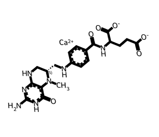 CN1c2c(nc(N)[nH]c2=O)NC[C@@H]1CNc1ccc(C(=O)NC(CCC(=O)[O-])C(=O)[O-])cc1.[Ca+2]